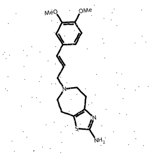 COc1ccc(/C=C/CN2CCc3nc(N)sc3CC2)cc1OC